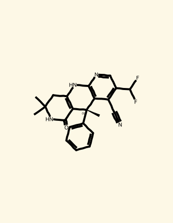 CC1(C)CC2=C(C(=O)N1)[C@@](C)(c1ccccc1)c1c(ncc(C(F)F)c1C#N)N2